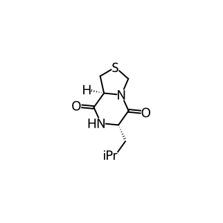 CC(C)C[C@@H]1NC(=O)[C@H]2CSCN2C1=O